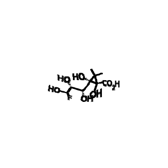 CC1(C)[C@](O)([C@H](O)[C@@H](O)C(O)F)[C@]1(O)C(=O)O